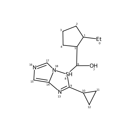 CCC1CCCC1C(O)[SH]1C(C2CC2)=Nc2cncn21